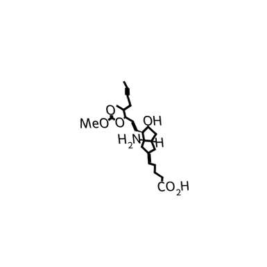 CC#CCC(C)[C@@H](/C=C/[C@H]1[C@H](O)C[C@@H]2C/C(=C\CCCC(=O)O)C[C@@]21N)OC(=O)OC